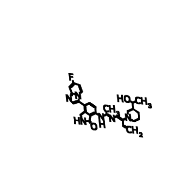 C=C/C(=C\N=C(/C)Nc1ccc(-c2cnc3cc(F)ccn23)c2c1C(=O)NC2)N1CCC[C@H]([C@H](C)O)C1